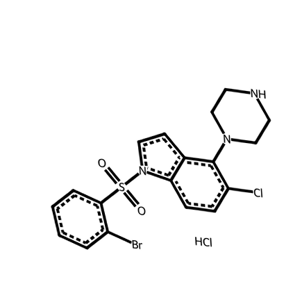 Cl.O=S(=O)(c1ccccc1Br)n1ccc2c(N3CCNCC3)c(Cl)ccc21